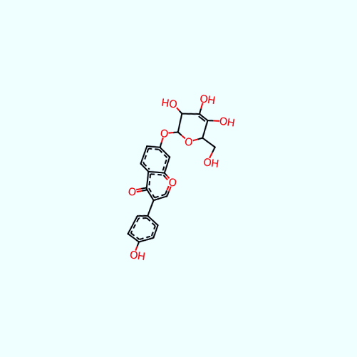 O=c1c(-c2ccc(O)cc2)coc2cc(OC3OC(CO)C(O)=C(O)C3O)ccc12